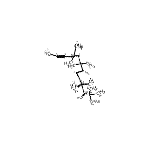 COC(C)(C#CO)CC(C)(C)CCC(C)(C)C(=O)C(C)(C)OC